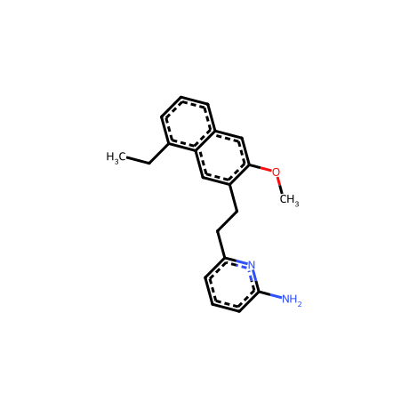 CCc1cccc2cc(OC)c(CCc3cccc(N)n3)cc12